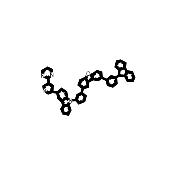 c1cnc(-c2cncc(-c3ccc4c(c3)c3ccccc3n4-c3cccc(-c4ccc5oc6ccc(-c7cccc(C8c9ccccc9-c9ccccc98)c7)cc6c5c4)c3)c2)nc1